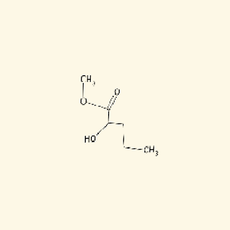 CCCC(O)C(=O)OC